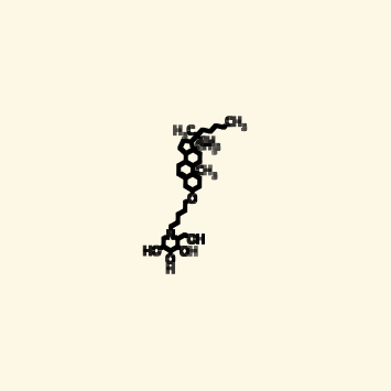 CCCCCC(C)(C)C1CCC2C3CC=C4CC(OCCCCCN5CC(O)C(O)C(O)C5CO)CCC4(C)C3CCC21C